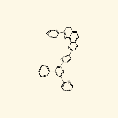 c1ccc(-c2cc(-c3ccccn3)nc(-c3ccc(-c4ccc5ccc6ccc(-c7ccccc7)nc6c5n4)cn3)c2)cc1